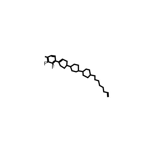 C=CCCCCCCC1CCC(C2CCC(C3CC=C(c4ccc(C)c(F)c4F)CC3)CC2)CC1